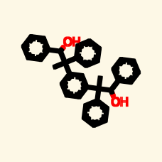 CC(c1ccccc1)(c1cccc(C(C)(c2ccccc2)C(O)c2ccccc2)c1)C(O)c1ccccc1